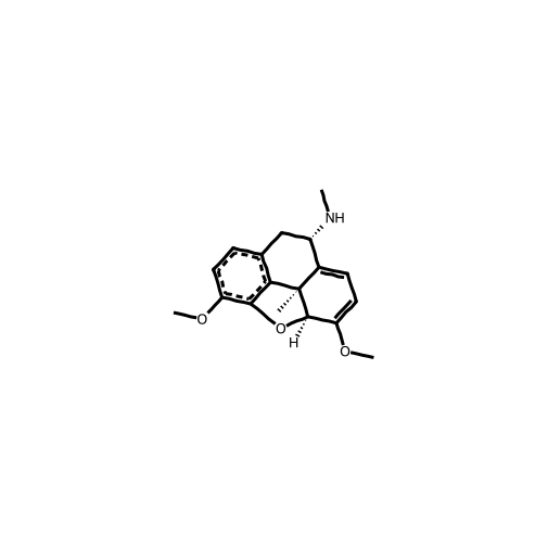 CN[C@H]1Cc2ccc(OC)c3c2[C@@]2(C)C1=CC=C(OC)[C@H]2O3